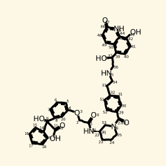 O=C(COc1cccc(C(O)(C(=O)O)c2ccccc2)c1)N[C@@H]1CCCN(C(=O)c2ccc(CCNCC(O)c3ccc(O)c4[nH]c(=O)ccc34)cc2)C1